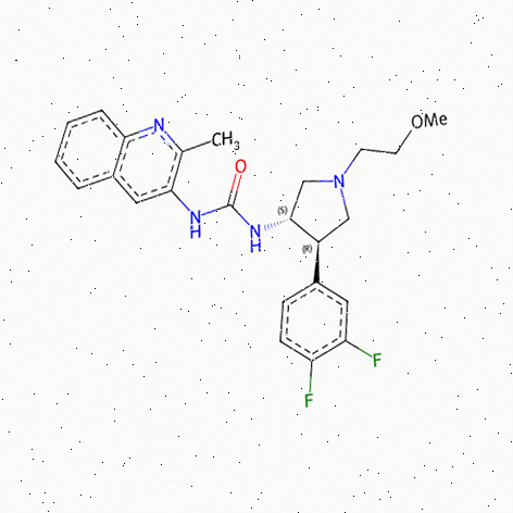 COCCN1C[C@@H](NC(=O)Nc2cc3ccccc3nc2C)[C@H](c2ccc(F)c(F)c2)C1